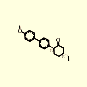 CC[C@@H]1CC[C@@H](c2ccc(-c3ccc(OC)cc3)cc2)C(=O)C1